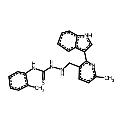 Cc1ccc(CNNC(=S)Nc2ccccc2C)c(-c2c[nH]c3ccccc23)n1